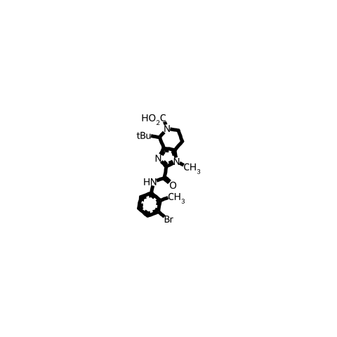 Cc1c(Br)cccc1NC(=O)c1nc2c(n1C)CCN(C(=O)O)C2C(C)(C)C